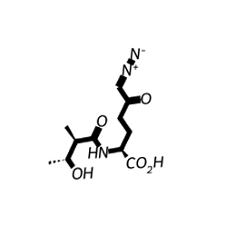 C[C@@H](O)[C@@H](C)C(=O)N[C@@H](CCC(=O)C=[N+]=[N-])C(=O)O